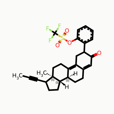 CC#CC1CC[C@H]2[C@@H]3CCC4=CC(=O)C(c5ccccc5OS(=O)(=O)C(F)(F)F)CC4=C3CC[C@]12C